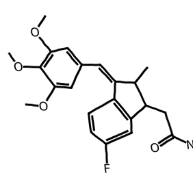 COc1cc(/C=C2\c3ccc(F)cc3C(CC(N)=O)C2C)cc(OC)c1OC